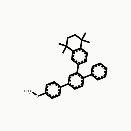 CC1(C)CCC(C)(C)c2cc(-c3cc(-c4ccc(OC(=O)O)cc4)ccc3-c3ccccc3)ccc21